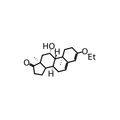 CCOC1=CC2=CC[C@H]3C4CCC(=O)[C@@]4(C)C[C@H](O)[C@@H]3[C@@]2(C)CC1